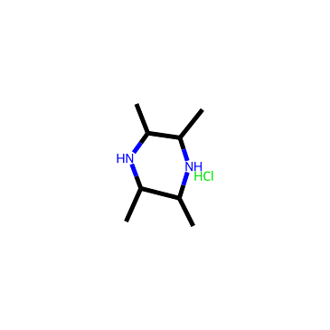 CC1NC(C)C(C)NC1C.Cl